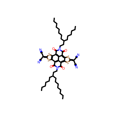 CCCCCCCCC(CCCCCC)CCn1c(=O)c2c3sc(=C(C#N)C#N)sc3c3c(=O)n(CCC(CCCCCC)CCCCCCCC)c(=O)c4c5sc(=C(C#N)C#N)sc5c(c1=O)c2c34